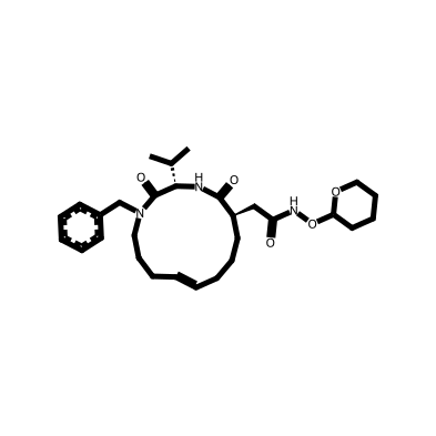 CC(C)[C@@H]1NC(=O)[C@@H](CC(=O)NOC2CCCCO2)CCC/C=C/CCCN(Cc2ccccc2)C1=O